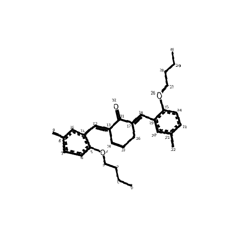 CCCCOc1ccc(C)cc1/C=C1\CCC/C(=C\c2cc(C)ccc2OCCCC)C1=O